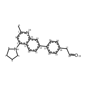 Cc1cc(N2CCCC2)c2ccc(-c3ccc(CC=O)cc3)cc2n1